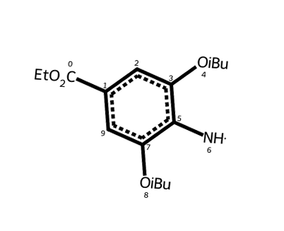 CCOC(=O)c1cc(OCC(C)C)c([NH])c(OCC(C)C)c1